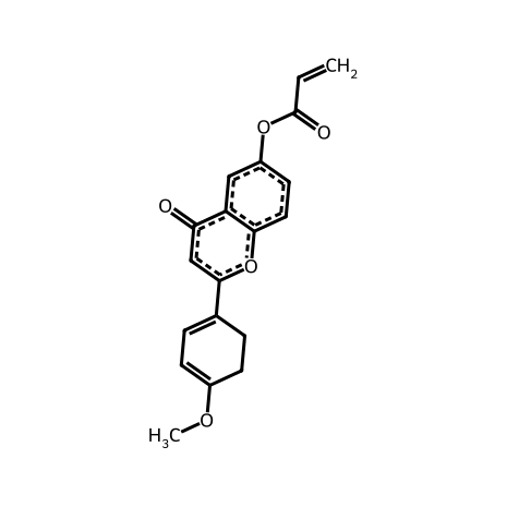 C=CC(=O)Oc1ccc2oc(C3=CC=C(OC)CC3)cc(=O)c2c1